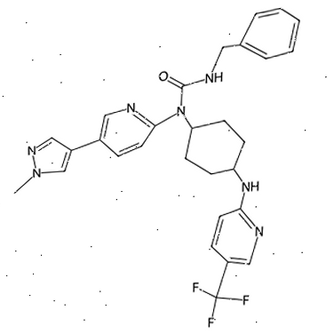 Cn1cc(-c2ccc(N(C(=O)NCc3ccccc3)C3CCC(Nc4ccc(C(F)(F)F)cn4)CC3)nc2)cn1